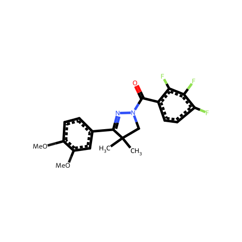 COc1ccc(C2=NN(C(=O)c3ccc(F)c(F)c3F)CC2(C)C)cc1OC